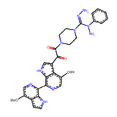 COc1cnc(-c2ncc(OC)c3c(C(=O)C(=O)N4CCN(/C(=N/N)N(N)c5ccccc5)CC4)c[nH]c23)c2[nH]ccc12